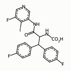 O=C(O)NC(C(=O)Nc1cncc(F)c1I)C(c1ccc(F)cc1)c1ccc(F)cc1